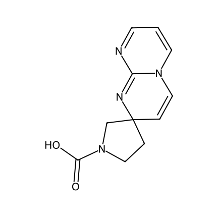 O=C(O)N1CCC2(C=CN3C=CC=NC3=N2)C1